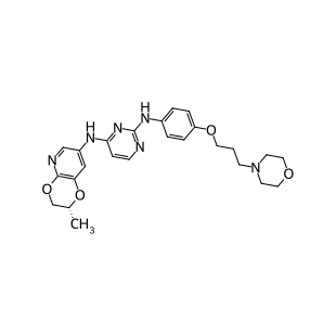 C[C@@H]1COc2ncc(Nc3ccnc(Nc4ccc(OCCCN5CCOCC5)cc4)n3)cc2O1